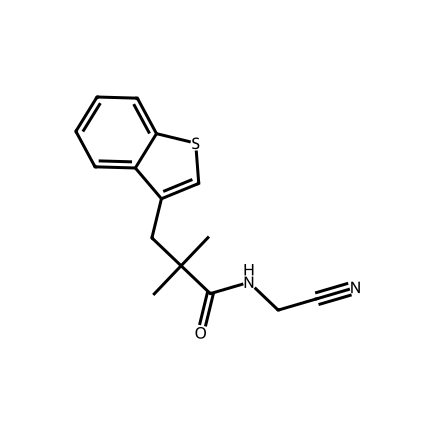 CC(C)(Cc1csc2ccccc12)C(=O)NCC#N